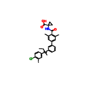 CC[As](C)(c1cccc(-c2cc(C)c(C(=O)NC3(C(=O)O)CC3)c(C)c2)c1)c1ccc(Cl)c(C)c1